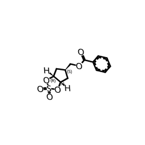 O=C(OC[C@H]1C[C@@H]2OS(=O)(=O)O[C@@H]2C1)c1ccccc1